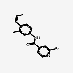 C/C=C\c1ccc(NC(=O)c2ccnc(Br)c2)cc1C